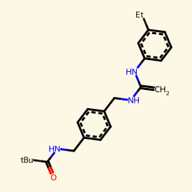 C=C(NCc1ccc(CNC(=O)C(C)(C)C)cc1)Nc1cccc(CC)c1